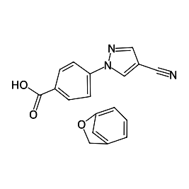 N#Cc1cnn(-c2ccc(C(=O)O)cc2)c1.c1cc2cc(c1)OC2